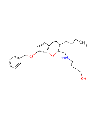 CCCCC1Cc2ccc(OCc3ccccc3)cc2OC1CNCCCO